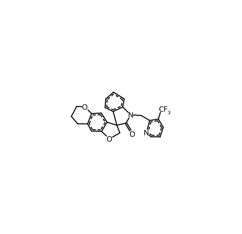 O=C1N(Cc2ncccc2C(F)(F)F)c2ccccc2C12COc1cc3c(cc12)OCCC3